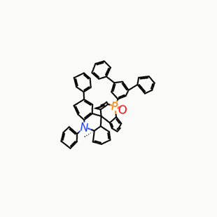 C[C@@]12C=CC=CC1C1(c3cc(-c4ccccc4)ccc3N2c2ccccc2)c2ccccc2P(=O)(c2cc(-c3ccccc3)cc(-c3ccccc3)c2)c2ccccc21